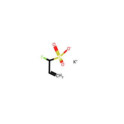 C=CC(F)S(=O)(=O)[O-].[K+]